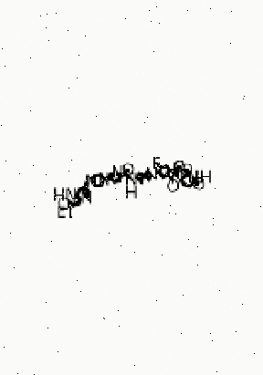 CCc1cc2ncc(CN3CCN(c4ccc(C(=O)NC5CC6(C5)CN(c5cc7c(cc5F)C(=O)N(C5CCC(=O)NC5=O)C7=O)C6)nc4)CC3)cc2[nH]c1=O